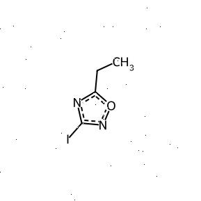 CCc1nc(I)no1